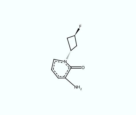 Nc1cccn([C@H]2C[C@H](F)C2)c1=O